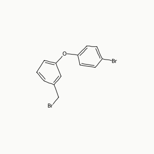 BrCc1cccc(Oc2ccc(Br)cc2)c1